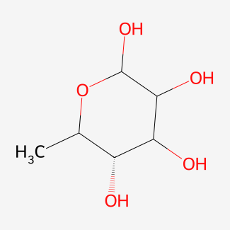 CC1OC(O)C(O)C(O)[C@@H]1O